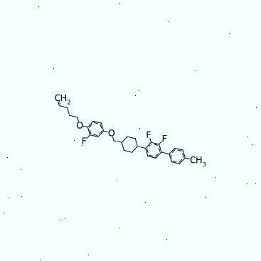 C=CCCCOc1ccc(OCC2CCC(c3ccc(-c4ccc(C)cc4)c(F)c3F)CC2)cc1F